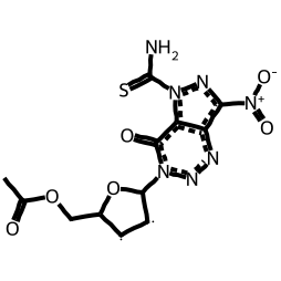 CC(=O)OCC1[CH][CH]C(n2nnc3c([N+](=O)[O-])nn(C(N)=S)c3c2=O)O1